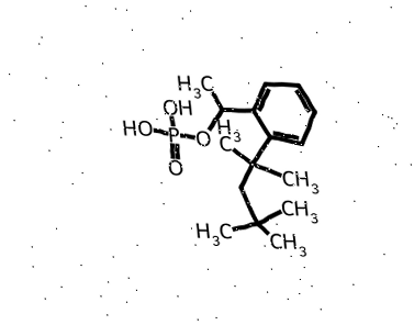 CC(OP(=O)(O)O)c1ccccc1C(C)(C)CC(C)(C)C